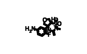 C=C1N[C@]2(c3cc(N)ccc3F)COC[C@@H]2S(=O)(=O)N1C